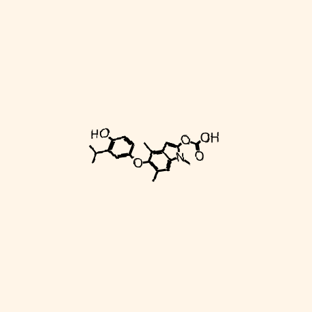 Cc1cc2c(cc(OC(=O)O)n2C)c(C)c1Oc1ccc(O)c(C(C)C)c1